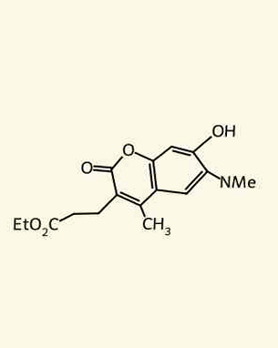 CCOC(=O)CCc1c(C)c2cc(NC)c(O)cc2oc1=O